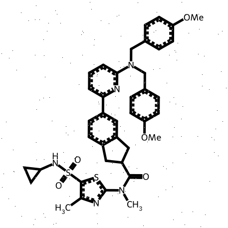 COc1ccc(CN(Cc2ccc(OC)cc2)c2cccc(-c3ccc4c(c3)CC(C(=O)N(C)c3nc(C)c(S(=O)(=O)NC5CC5)s3)C4)n2)cc1